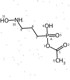 CC(=O)OP(=O)(O)CCCNO